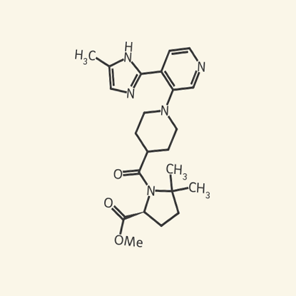 COC(=O)[C@@H]1CCC(C)(C)N1C(=O)C1CCN(c2cnccc2-c2ncc(C)[nH]2)CC1